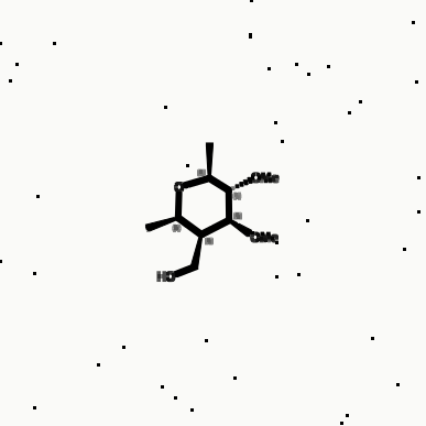 CO[C@@H]1[C@@H](OC)[C@@H](CO)[C@@H](C)O[C@H]1C